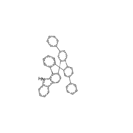 c1ccc(-c2ccc3c(c2)C2(c4cc(-c5ccccc5)ccc4-3)c3ccccc3-c3c2ccc2c3[nH]c3ccccc32)cc1